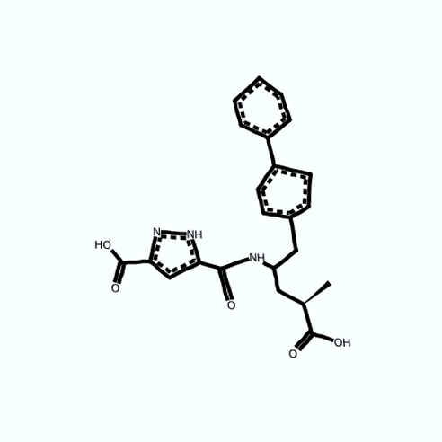 C[C@H](CC(Cc1ccc(-c2ccccc2)cc1)NC(=O)c1cc(C(=O)O)n[nH]1)C(=O)O